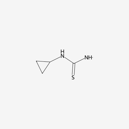 [NH]C(=S)NC1CC1